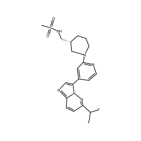 CS(=O)(=O)NC[C@@H]1CCCN(c2cc(-c3cnc4ccc(C(F)F)nn34)ccn2)C1